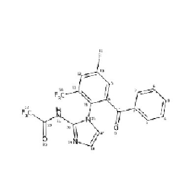 O=C(c1ccccc1)c1cc(F)cc(C(F)(F)F)c1-n1ccnc1NC(=O)C(F)(F)F